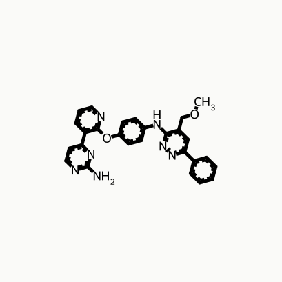 COCc1cc(-c2ccccc2)nnc1Nc1ccc(Oc2ncccc2-c2ccnc(N)n2)cc1